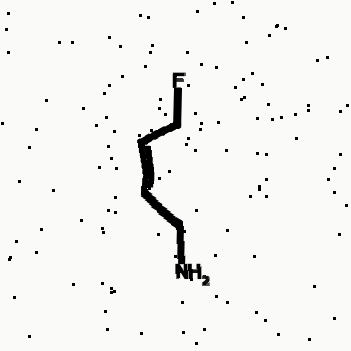 NC/C=C\CF